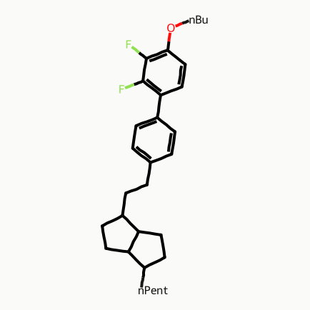 CCCCCC1CCC2C(CCc3ccc(-c4ccc(OCCCC)c(F)c4F)cc3)CCC12